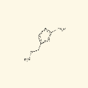 O=C(O)c1ccc(CO[N+](=O)[O-])o1